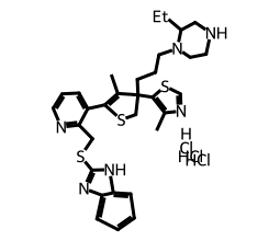 CCC1CNCCN1CCCC1(c2scnc2C)CSC(c2cccnc2CSc2nc3ccccc3[nH]2)=C1C.Cl.Cl.Cl